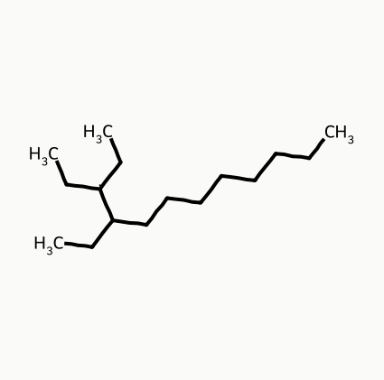 CCCCCCCCC(CC)[C](CC)CC